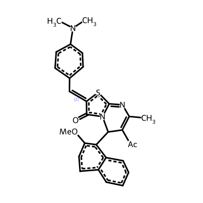 COc1ccc2ccccc2c1C1C(C(C)=O)=C(C)N=c2s/c(=C\c3ccc(N(C)C)cc3)c(=O)n21